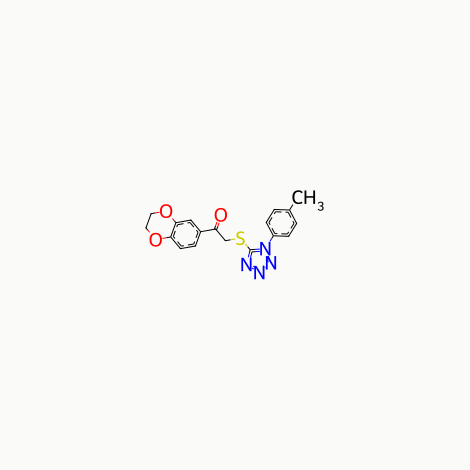 Cc1ccc(-n2nnnc2SCC(=O)c2ccc3c(c2)OCCO3)cc1